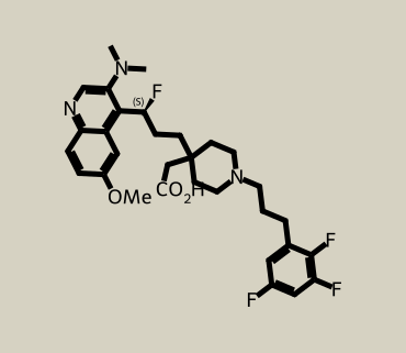 COc1ccc2ncc(N(C)C)c([C@@H](F)CCC3(CC(=O)O)CCN(CCCc4cc(F)cc(F)c4F)CC3)c2c1